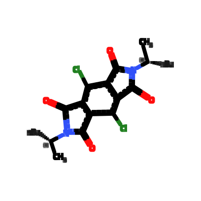 CCCC[C@@H](C)n1c(=O)c2c(Cl)c3c(=O)n([C@H](C)CCCC)c(=O)c3c(Cl)c2c1=O